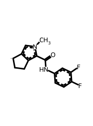 Cn1cc2c(c1C(=O)Nc1ccc(F)c(F)c1)CC[CH]2